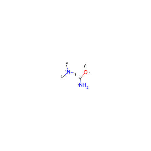 CN(C)C.COCN